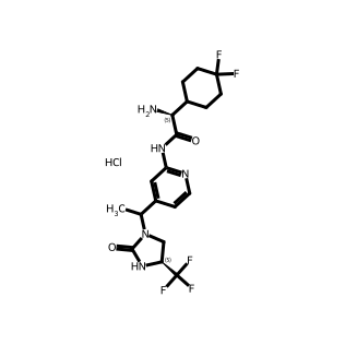 CC(c1ccnc(NC(=O)[C@@H](N)C2CCC(F)(F)CC2)c1)N1C[C@@H](C(F)(F)F)NC1=O.Cl